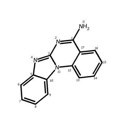 Nc1nc2nc3ccccc3n2c2ccccc12